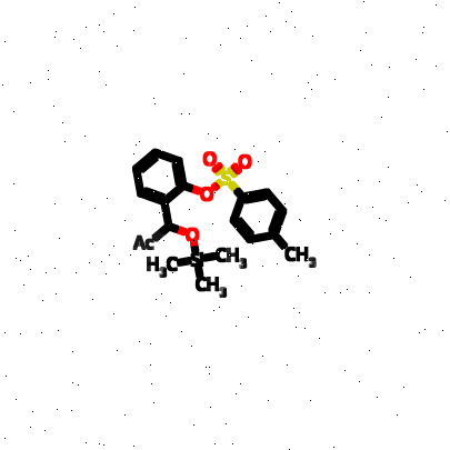 CC(=O)C(O[Si](C)(C)C)c1ccccc1OS(=O)(=O)c1ccc(C)cc1